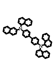 c1ccc2cc(N(c3ccc(-c4ccc(N(c5cccc6ccccc56)c5cccc6ccccc56)cc4)cc3)c3cccc4ccccc34)ccc2c1